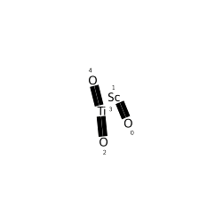 [O]=[Sc].[O]=[Ti]=[O]